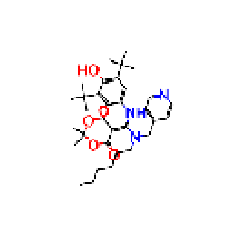 CCCCCCN(Cc1ccncc1)C(Nc1cc(C(C)(C)C)c(O)c(C(C)(C)C)c1)=C1C(=O)OC(C)(C)OC1=O